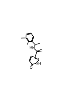 Cc1cccc([C@@H](C)NC(=O)c2ccc(=O)[nH]n2)c1C